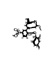 COc1cc(-c2cc([N+](=O)[O-])ccc2Oc2ccc(F)cc2F)cc(C)n1